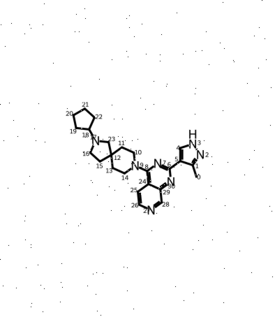 Cc1n[nH]cc1-c1nc(N2CCC3(CC2)CCN(C2CCCC2)C3)c2ccncc2n1